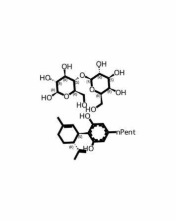 C=C(C)[C@@H]1CCC(C)=C[C@H]1c1c(O)cc(CCCCC)cc1O.OC[C@H]1O[C@@H](O[C@H]2[C@H](O)[C@@H](O)[C@H](O)O[C@@H]2CO)[C@H](O)[C@@H](O)[C@H]1O